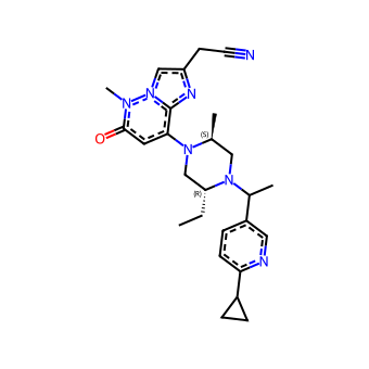 CC[C@@H]1CN(c2cc(=O)n(C)n3cc(CC#N)nc23)[C@@H](C)CN1C(C)c1ccc(C2CC2)nc1